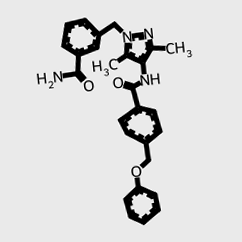 Cc1nn(Cc2cccc(C(N)=O)c2)c(C)c1NC(=O)c1ccc(COc2ccccc2)cc1